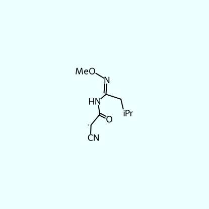 CON=C(CC(C)C)NC(=O)[CH]C#N